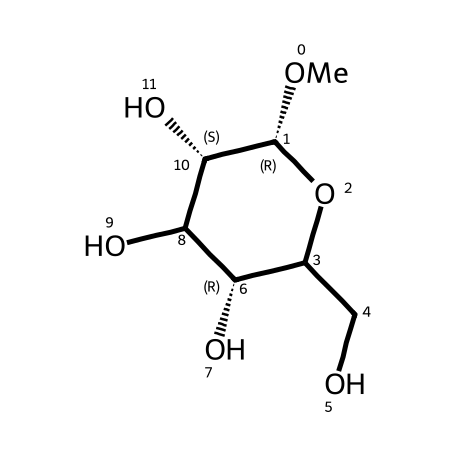 CO[C@@H]1OC(CO)[C@H](O)C(O)[C@@H]1O